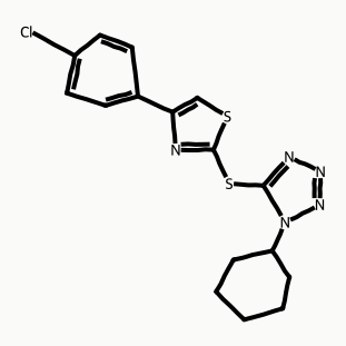 Clc1ccc(-c2csc(Sc3nnnn3C3CCCCC3)n2)cc1